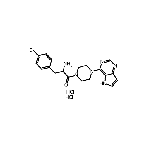 Cl.Cl.NC(Cc1ccc(Cl)cc1)C(=O)N1CCN(c2ncnc3cc[nH]c23)CC1